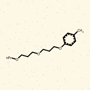 CCCOCCCOCCCOc1ccc(C)cc1